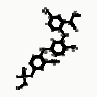 CCOP(C)(=O)Cc1ccc(Nc2ncc(C(F)(F)F)c(Nc3ccc(N)cc3C(=O)NC)n2)c(OC)c1